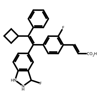 O=C(O)/C=C/c1ccc(/C(=C(\c2ccccc2)C2CCC2)c2ccc3c(c2)C(F)NN3)cc1F